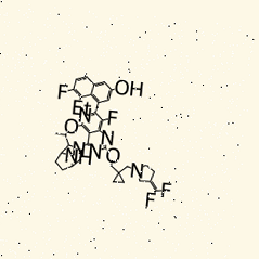 CCc1c(F)ccc2cc(O)cc(-c3nc4c5c(nc(OCC6(CN7CCC(=C(F)F)C7)CC6)nc5c3F)N3CC5CCC(N5)C3C(C)O4)c12